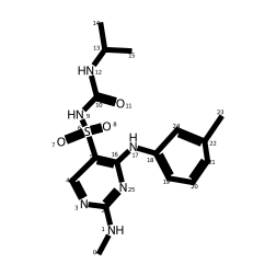 CNc1ncc(S(=O)(=O)NC(=O)NC(C)C)c(Nc2cccc(C)c2)n1